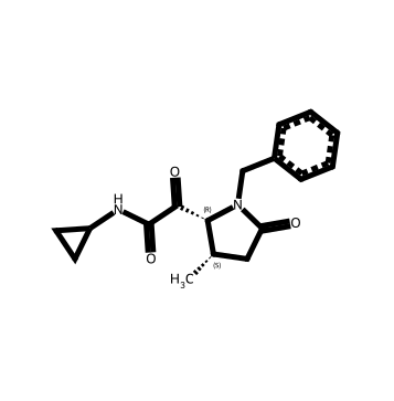 C[C@H]1CC(=O)N(Cc2ccccc2)[C@H]1C(=O)C(=O)NC1CC1